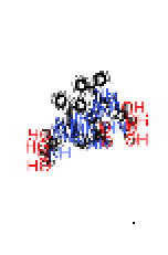 O=C(CO)N[C@H]1C[C@@H](n2cnc3c(NCC(c4ccccc4)c4ccccc4)nc(N4CC[C@@H](Nc5c(N[C@@H]6CCN(c7nc(NCC(c8ccccc8)c8ccccc8)c8ncn([C@@H]9C[C@H](NC(=O)CO)[C@@H](O)[C@H]9O)c8n7)C6)c(=O)c5=O)C4)nc32)[C@H](O)[C@@H]1O